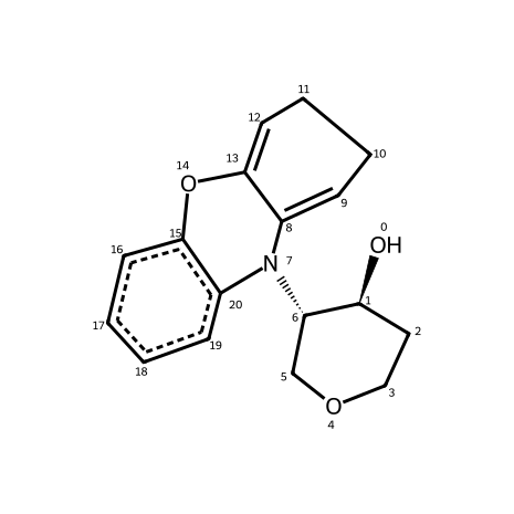 O[C@H]1CCOC[C@@H]1N1C2=CCCC=C2Oc2ccccc21